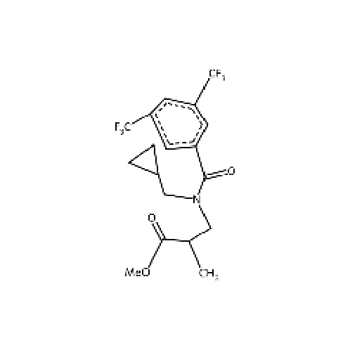 COC(=O)C(C)CN(CC1CC1)C(=O)c1cc(C(F)(F)F)cc(C(F)(F)F)c1